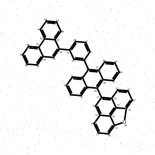 c1cc(-c2c3ccccc3c(-c3cc4cccc5oc6cccc3c6c45)c3ccccc23)cc(-c2cc3ccccc3c3ccccc23)c1